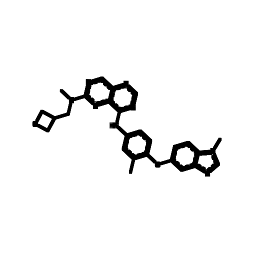 Cc1cc(Nc2ncnc3cnc(N(C)CC4COC4)nc23)ccc1Oc1ccc2c(c1)ncn2C